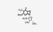 CNc1nc2c(ncn2[C@@H]2O[C@H](COC(C)=O)[C@@H](OC(C)=O)[C@H]2OC(C)=O)c(=O)n1C